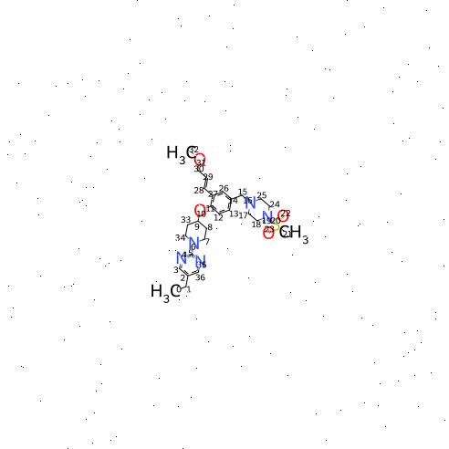 CCc1cnc(N2CCC(Oc3ccc(CN4CCN(S(C)(=O)=O)CC4)cc3C=CCOC)CC2)nc1